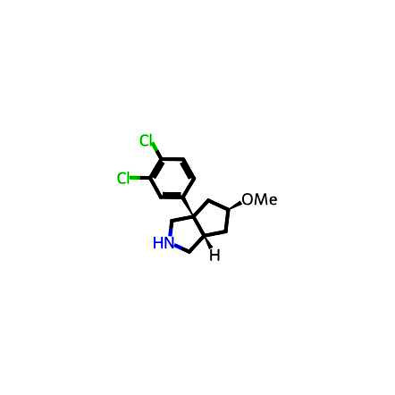 CO[C@H]1C[C@@H]2CNC[C@]2(c2ccc(Cl)c(Cl)c2)C1